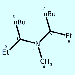 CCCCC(CC)N(C)C(CC)CCCC